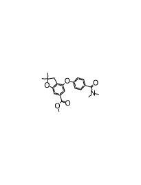 COC(=O)c1cc(Oc2ccc(C(=O)N(C)C)cc2)c2c(c1)OC(C)(C)C2